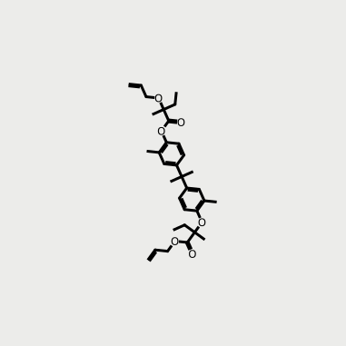 C=CCOC(=O)C(C)(CC)Oc1ccc(C(C)(C)c2ccc(OC(=O)C(C)(CC)OCC=C)c(C)c2)cc1C